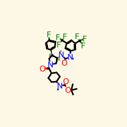 CN(C(=O)N(C)[C@@H]1CN(C(=O)C2CCC(N(C)C(=O)OC(C)(C)C)CC2)C[C@H]1c1ccc(F)cc1)c1cc(C(F)(F)F)cc(C(F)(F)F)c1